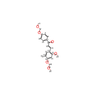 COCOc1ccc(C(=O)C=Cc2cc(C)c(OCOC)cc2OC)cc1